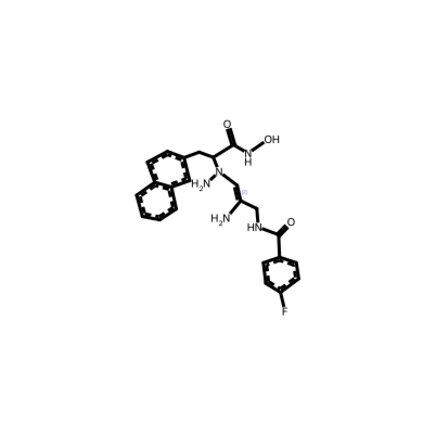 N/C(=C\N(N)C(Cc1ccc2ccccc2c1)C(=O)NO)CNC(=O)c1ccc(F)cc1